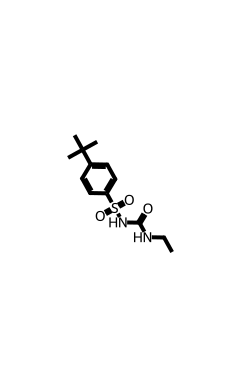 CCNC(=O)NS(=O)(=O)c1ccc(C(C)(C)C)cc1